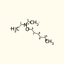 [CH2]C[N+](C[CH2])OCCCCCC